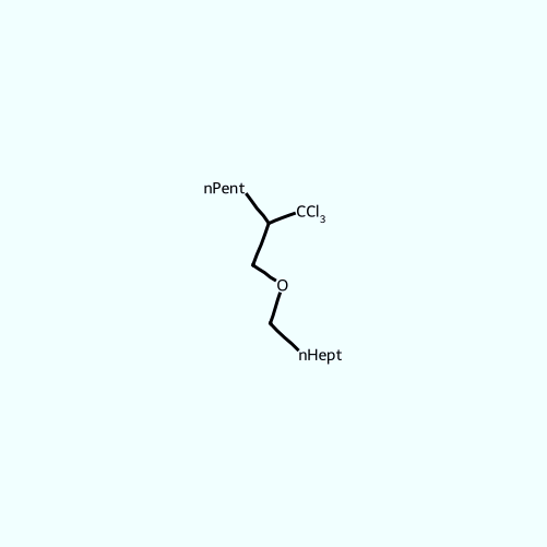 [CH2]CCCCCCCOCC(CCCCC)C(Cl)(Cl)Cl